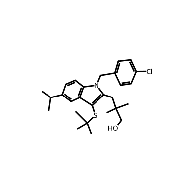 CC(C)c1ccc2c(c1)c(SC(C)(C)C)c(CC(C)(C)CO)n2Cc1ccc(Cl)cc1